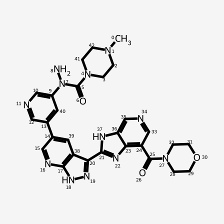 CN1CCN(C(=O)N(N)c2cncc(-c3cnc4[nH]nc(-c5nc6c(C(=O)N7CCOCC7)cncc6[nH]5)c4c3)c2)CC1